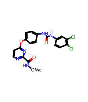 CONC(=O)c1nccc(Oc2ccc(NC(=O)Nc3ccc(Cl)c(Cl)c3)cc2)n1